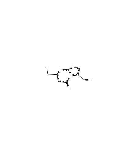 O=Cc1csc2nc(CCl)cc(=O)n12